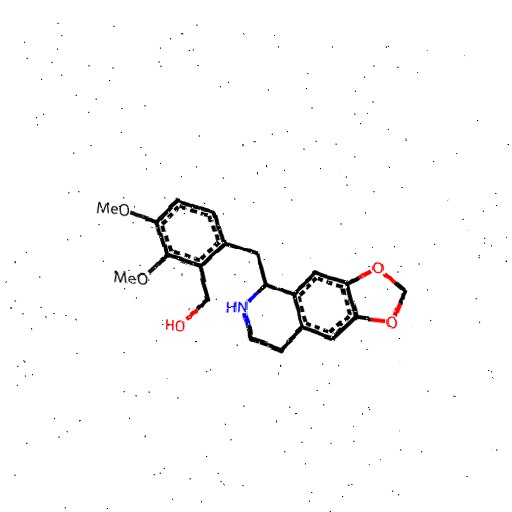 COc1ccc(CC2NCCc3cc4c(cc32)OCO4)c(CO)c1OC